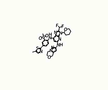 Cc1cnc(-c2ccc(Nc3cc(Nc4cc5n(n4)CCOC5)nc4c3nc(C(F)F)n4C3CCCCO3)c(S(C)(=O)=O)c2)s1